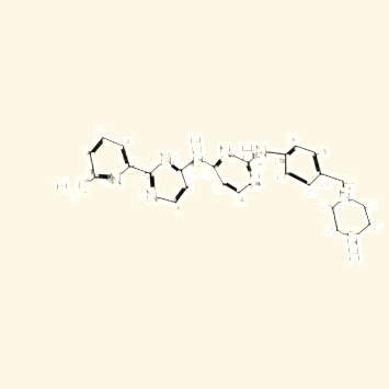 Cc1cccc(-c2nccc(Nc3ccnc(Nc4ccc(CN5CCNCC5)cc4)n3)n2)n1